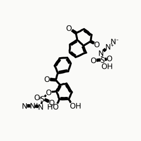 O=C1C=CC(=O)c2ccccc21.[N-]=[N+]=NS(=O)(=O)O.[N-]=[N+]=NS(=O)(=O)Oc1c(C(=O)c2ccccc2)ccc(O)c1O